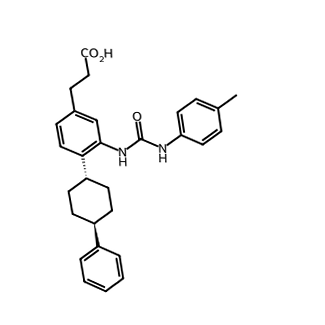 Cc1ccc(NC(=O)Nc2cc(CCC(=O)O)ccc2[C@H]2CC[C@H](c3ccccc3)CC2)cc1